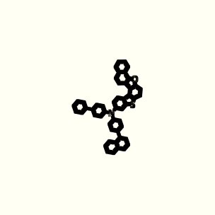 c1ccc(-c2ccc(N(c3ccc(-c4cccc5ccccc45)cc3)c3ccc4c(c3)sc3ccc5oc6c7ccccc7ccc6c5c34)cc2)cc1